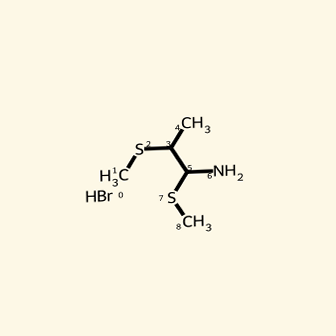 Br.CSC(C)C(N)SC